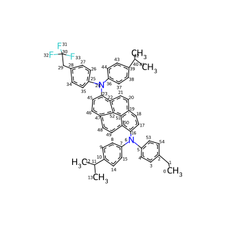 CCc1ccc(N(c2ccc(C(C)C)cc2)c2ccc3ccc4c(N(c5ccc(CC(F)(F)F)cc5)c5ccc(C(C)C)cc5)ccc5ccc2c3c54)cc1